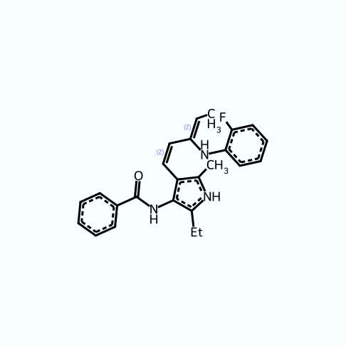 C/C=C(/C=C\c1c(C)[nH]c(CC)c1NC(=O)c1ccccc1)Nc1ccccc1F